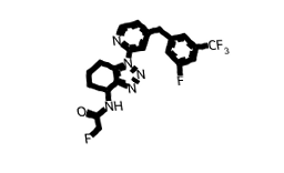 O=C(CF)NC1CCCc2c1nnn2-c1cc(Cc2cc(F)cc(C(F)(F)F)c2)ccn1